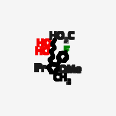 COc1c(C)cc(C(C)C)c(C=CC(O)CC(O)CC(=O)O)c1-c1ccc(F)cc1